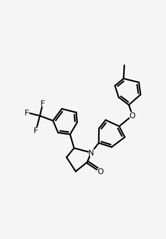 Cc1ccc(Oc2ccc(N3C(=O)CCC3c3cccc(C(F)(F)F)c3)cc2)cc1